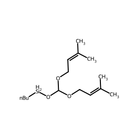 CCCC[SiH2]OC(OCC=C(C)C)OCC=C(C)C